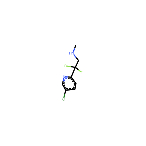 CNCC(F)(F)c1ccc(Cl)cn1